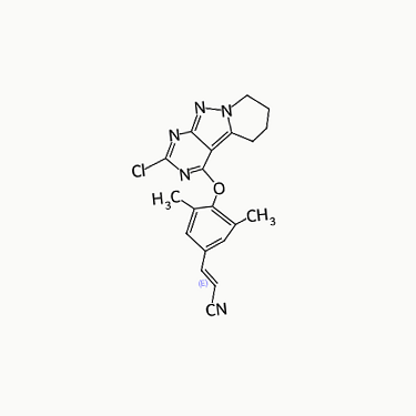 Cc1cc(/C=C/C#N)cc(C)c1Oc1nc(Cl)nc2nn3c(c12)CCCC3